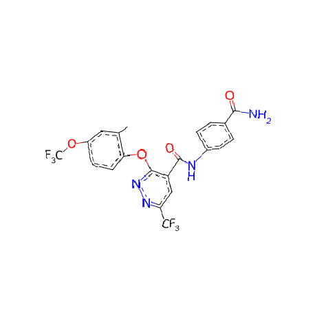 Cc1cc(OC(F)(F)F)ccc1Oc1nnc(C(F)(F)F)cc1C(=O)Nc1ccc(C(N)=O)cc1